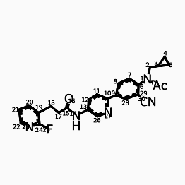 CC(=O)N(CC1CC1)c1ccc(-c2ccc(NC(=O)CCc3cccnc3F)cn2)cc1C#N